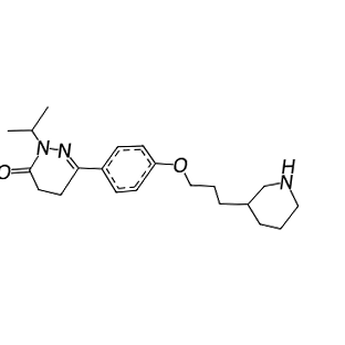 CC(C)N1N=C(c2ccc(OCCCC3CCCNC3)cc2)CCC1=O